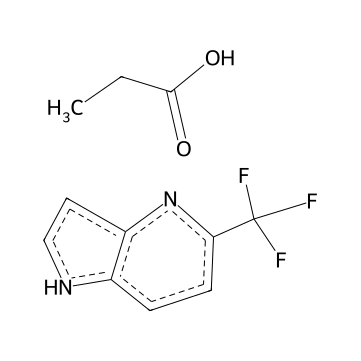 CCC(=O)O.FC(F)(F)c1ccc2[nH]ccc2n1